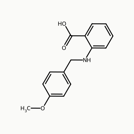 COc1ccc(CNc2ccccc2C(=O)O)cc1